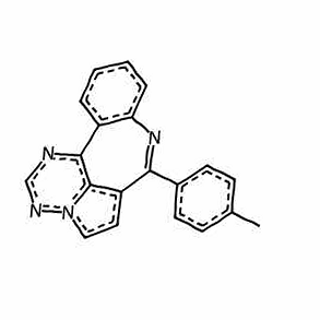 Cc1ccc(C2=Nc3ccccc3-c3ncnn4ccc2c34)cc1